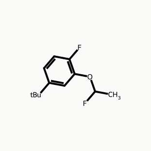 CC(F)Oc1cc(C(C)(C)C)ccc1F